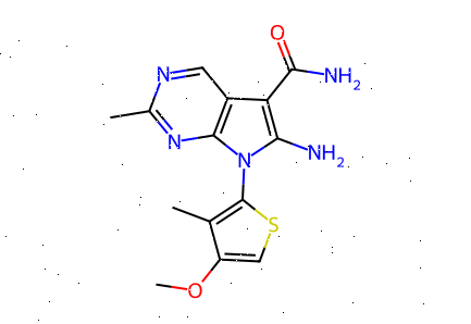 COc1csc(-n2c(N)c(C(N)=O)c3cnc(C)nc32)c1C